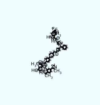 Cc1ncsc1-c1ccc([C@H](C)NC(=O)[C@@H]2C[C@@H](O)CN2C(=O)[C@@H](NC(=O)c2ccc(N3CCC(CC(=O)N4CC([C@@H](c5ccccc5)n5cc(NC(=O)c6n[nH]c7c6C[C@@H]6C(F)(F)[C@]6(C)C7)cn5)C4)CC3)cn2)C(C)(C)C)cc1